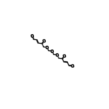 O=CC=CC(=O)COCOCOCC(=O)C=CC=O